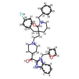 O=C(c1nc2ccccc2n1Cc1ccco1)C1CCN(CCC2(Cc3ccc(F)cc3)CCCN(Cc3ccccc3)C2=O)CC1